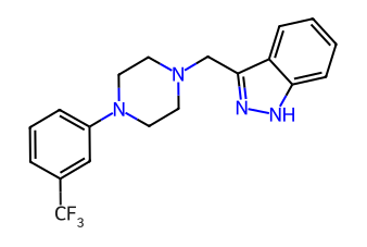 FC(F)(F)c1cccc(N2CCN(Cc3n[nH]c4ccccc34)CC2)c1